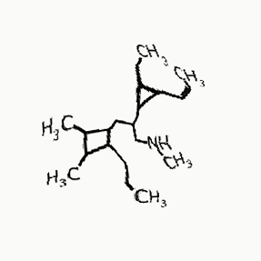 C/C=C\C1C(CC)C1C(CNC)CC1C(C)C(C)C1CCC